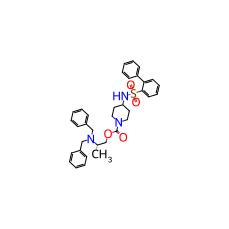 C[C@@H](COC(=O)N1CCC(NS(=O)(=O)c2ccccc2-c2ccccc2)CC1)N(Cc1ccccc1)Cc1ccccc1